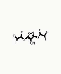 N#Cc1c(SC(F)C(F)F)nsc1SC(F)C(F)F